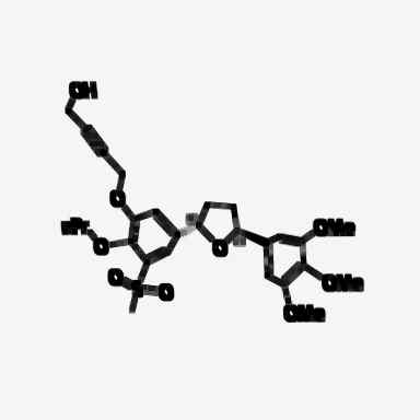 CCCOc1c(OCC#CCO)cc([C@@H]2CC[C@@H](c3cc(OC)c(OC)c(OC)c3)O2)cc1S(C)(=O)=O